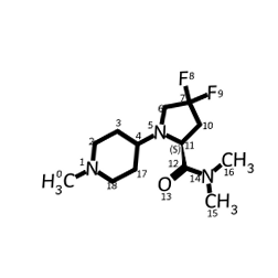 CN1CCC(N2CC(F)(F)C[C@H]2C(=O)N(C)C)CC1